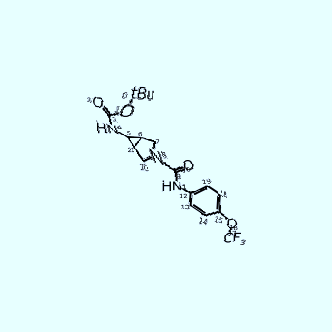 CC(C)(C)OC(=O)NC1C2CN(C(=O)Nc3ccc(OC(F)(F)F)cc3)CC21